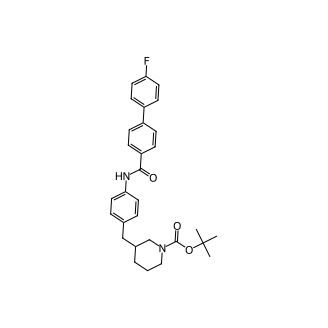 CC(C)(C)OC(=O)N1CCCC(Cc2ccc(NC(=O)c3ccc(-c4ccc(F)cc4)cc3)cc2)C1